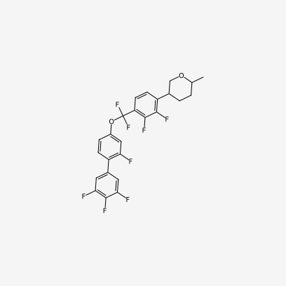 CC1CCC(c2ccc(C(F)(F)Oc3ccc(-c4cc(F)c(F)c(F)c4)c(F)c3)c(F)c2F)CO1